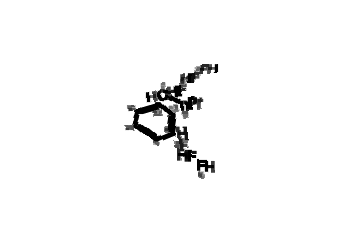 CCCO.F.F.F.F.F.F.c1ccccc1